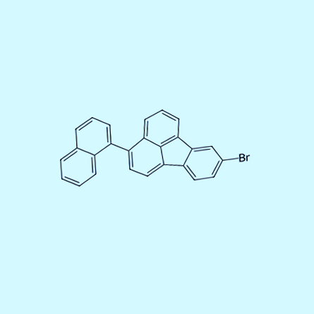 Brc1ccc2c(c1)-c1cccc3c(-c4cccc5ccccc45)ccc-2c13